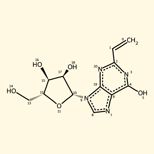 C=Cc1nc(O)c2ncn([C@@H]3O[C@H](CO)[C@@H](O)[C@H]3O)c2n1